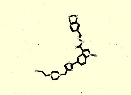 CCn1cc(C(=O)N/N=C/c2ccc3c(c2)OCO3)c2cc(-c3nc(CN4CCN(CCO)CC4)cs3)ccc21